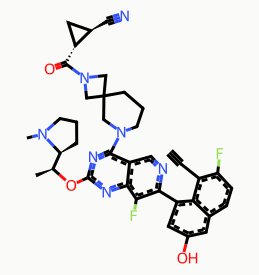 C#Cc1c(F)ccc2cc(O)cc(-c3ncc4c(N5CCCC6(CN(C(=O)[C@@H]7C[C@H]7C#N)C6)C5)nc(O[C@@H](C)[C@@H]5CCCN5C)nc4c3F)c12